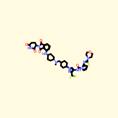 CN(CC1CCC(n2cc(NC(=O)n3ccc4sc(N5CCOCC5)nc43)c(C(F)F)n2)CC1)[C@H]1CC[C@H](Nc2cccc3c2C(=O)N(C2CCC(=O)NC2=O)C3=O)CC1